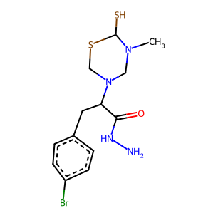 CN1CN(C(Cc2ccc(Br)cc2)C(=O)NN)CSC1S